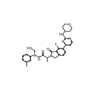 Cc1cccc([C@@H](CO)NC(=O)C(C)N2Cc3ccc(-c4ccnc(NC5CCOCC5)n4)c(F)c3C2=O)c1